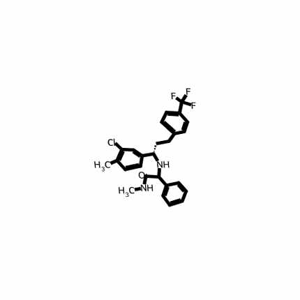 CNC(=O)C(N[C@@H](CCc1ccc(C(F)(F)F)cc1)c1ccc(C)c(Cl)c1)c1ccccc1